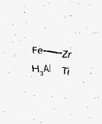 [AlH3].[Fe][Zr].[Ti]